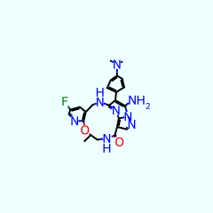 CC1CNC(=O)c2cnn3c(N)c(-c4ccc(N(C)C)cc4)c(nc23)NCc2cc(F)cnc2O1